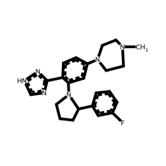 CN1CCN(c2ccc(-c3nc[nH]n3)c(N3CCCC3c3cccc(F)c3)c2)CC1